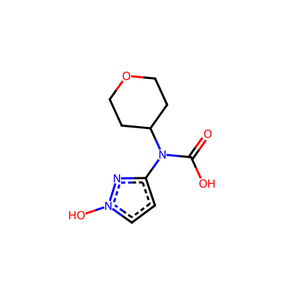 O=C(O)N(c1ccn(O)n1)C1CCOCC1